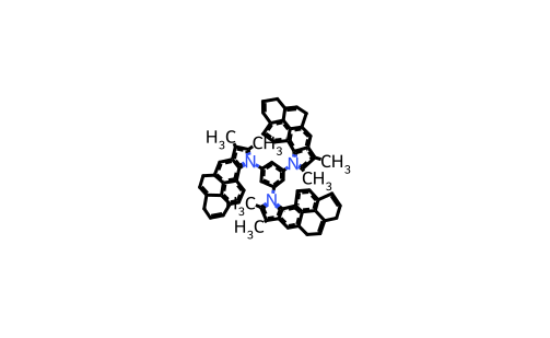 Cc1c(C)n(-c2cc(-n3c(C)c(C)c4cc5c6c7c(ccc6c43)C=CCC7=CC5)cc(-n3c(C)c(C)c4cc5c6c7c(ccc6c43)C=CCC7=CC5)c2)c2c1cc1c3c4c(ccc32)C=CCC4=CC1